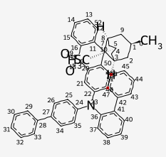 C[C@H]1C[C@@H]2C[C@@H](C)C[C@H](C1)C21c2ccccc2S(=O)(=O)c2cc(N(c3ccc(-c4ccccc4)cc3)c3ccccc3-c3ccccc3)ccc21